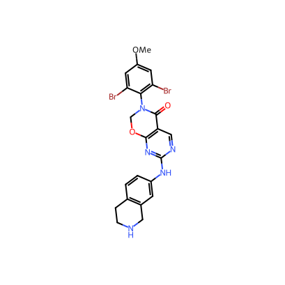 COc1cc(Br)c(N2COc3nc(Nc4ccc5c(c4)CNCC5)ncc3C2=O)c(Br)c1